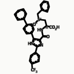 O=C(N[C@@H](C[S+]([O-])Cc1ccccc1)C(=O)O)c1nc(-c2ccc(C(F)(F)F)cc2)[nH]c1-c1ccc(-c2ccccc2)cc1